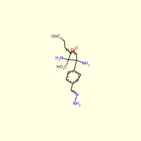 C=CC(N)(c1ccc(C=NN)cc1)C(N)(C(=O)O)C(=O)CCC=O